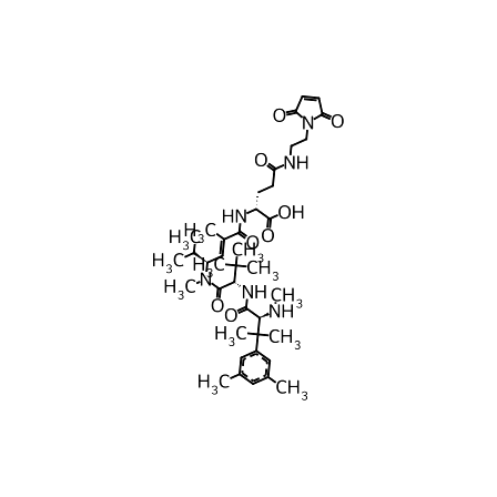 CN[C@H](C(=O)N[C@H](C(=O)N(C)[C@H](/C=C(\C)C(=O)N[C@H](CCC(=O)NCCN1C(=O)C=CC1=O)C(=O)O)C(C)C)C(C)(C)C)C(C)(C)c1cc(C)cc(C)c1